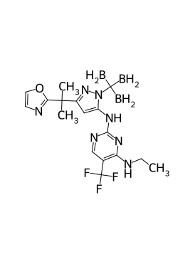 BC(B)(B)n1nc(C(C)(C)c2ncco2)cc1Nc1ncc(C(F)(F)F)c(NCC)n1